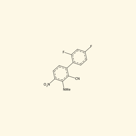 CNc1c([N+](=O)[O-])ccc(-c2ccc(F)cc2F)c1C#N